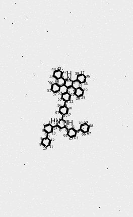 C1=C(c2cccc(-c3ccccc3)c2)NC(c2ccc(-c3ccc(C4=C(c5ccccc5)C(c5ccccc5)NC(c5ccccc5)=C4c4ccccc4)cc3)cc2)NC1c1cccc(-c2ccccc2)c1